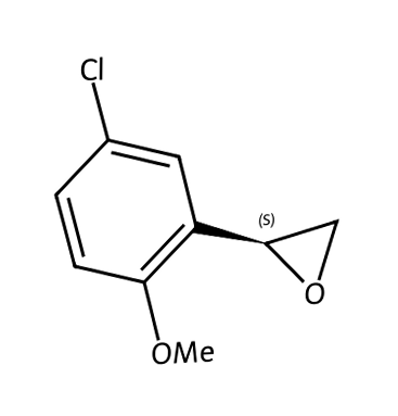 COc1ccc(Cl)cc1[C@H]1CO1